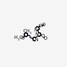 COc1cc(C)cc(/C=C/c2ccnc(-c3cc(OC=O)cc(-c4cc(OC=O)ccn4)n3)c2)c1